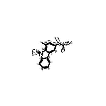 CCn1c2ccccc2c2cc(NC(=O)C(C)(C)C)cc(C)c21